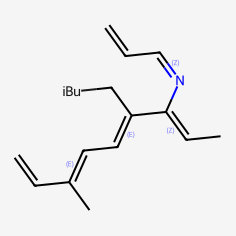 C=C\C=N/C(=C\C)C(=C/C=C(\C)C=C)/CC(C)CC